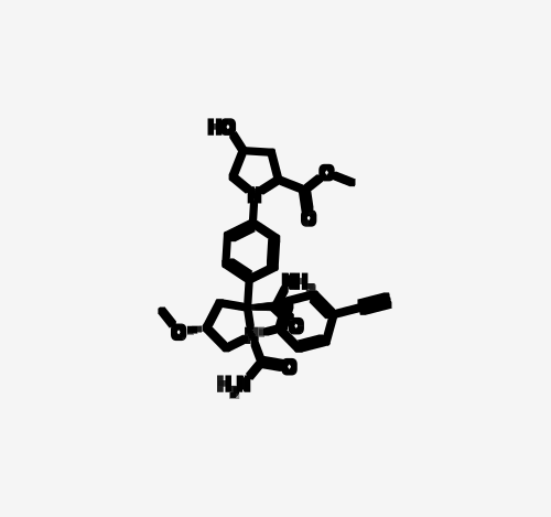 C#Cc1ccc([N+]2(C(N)=O)C[C@H](OC)C[C@]2(C(N)=O)c2ccc(N3CC(O)CC3C(=O)OC)cc2)cc1